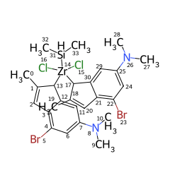 CC1=Cc2c(Br)cc(N(C)C)cc2[CH]1[Zr]([Cl])([Cl])([CH]1C(C)=Cc2c(Br)cc(N(C)C)cc21)[SiH](C)C